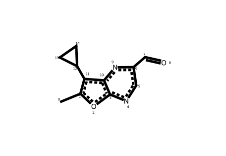 Cc1oc2ncc(C=O)nc2c1C1CC1